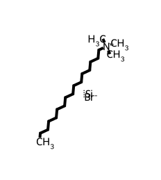 CCCCCCCCCCCCCCCC[N+](C)(C)C.[Br-].[Si]